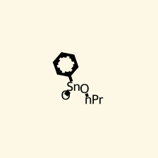 CCC[O][Sn](=[O])[c]1ccccc1